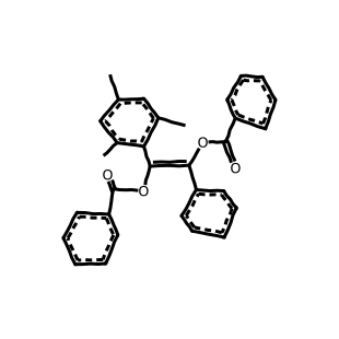 Cc1cc(C)c(/C(OC(=O)c2ccccc2)=C(\OC(=O)c2ccccc2)c2ccccc2)c(C)c1